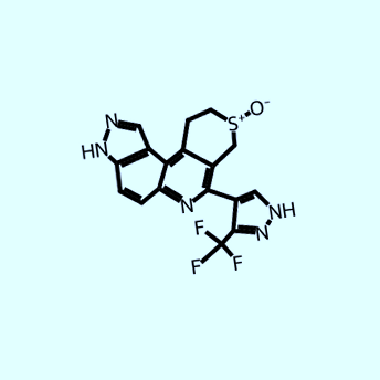 [O-][S+]1CCc2c(c(-c3c[nH]nc3C(F)(F)F)nc3ccc4[nH]ncc4c23)C1